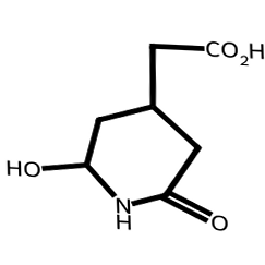 O=C(O)CC1CC(=O)NC(O)C1